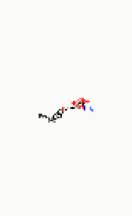 CC(C)CCC[C@@H](C)[C@H]1CCC2C3CC=C4CC(OCCCCCCSC5O[C@H](CN)[C@@H](O)[C@H](O)[C@@H]5O)CC[C@]4(C)C3CC[C@@]21C